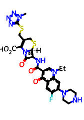 CCn1cc(C(=O)NC2C(=O)N3C(C(=O)O)=C(CSc4nnnn4C)CS[C@@H]23)c(=O)c2cc(F)c(N3CCNCC3)cc21